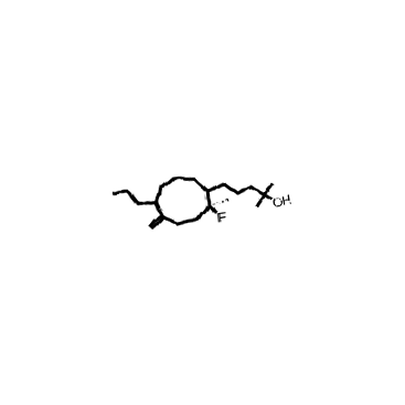 C=C1CC[C@](C)(F)C(CCCC(C)(C)O)CCCC1CCC